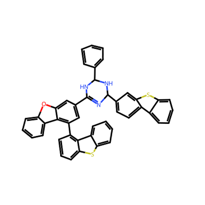 c1ccc(C2NC(c3cc(-c4cccc5sc6ccccc6c45)c4c(c3)oc3ccccc34)=NC(c3ccc4c(c3)sc3ccccc34)N2)cc1